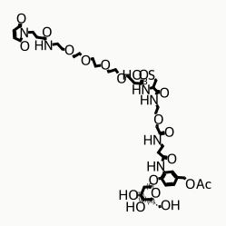 CC(=O)OCc1ccc(O[C@H]2C[C@@H](O)[C@@H](O)[C@@H](CO)O2)c(NC(=O)CCNC(=O)COCCNC(=O)C(CS(=O)(=O)O)NC(=O)CCOCCOCCOCCOCCNC(=O)CCN2C(=O)C=CC2=O)c1